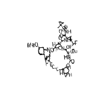 COc1ccc2nc3c(nc2c1)O[C@@H]1C[C@@H](C(=O)N[C@]2(C(=O)NS(=O)(=O)C4(C)CC4)C[C@H]2C(F)F)N(C1)C(=O)[C@H](C(C)(C)C)NC(=O)O[C@@H]1C[C@@H]2CC2[C@H]1CCCCC3(F)F